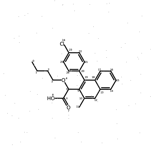 CCCCOC(C(=O)O)c1c(C)cc2ccccc2c1-c1ccc(Cl)cc1